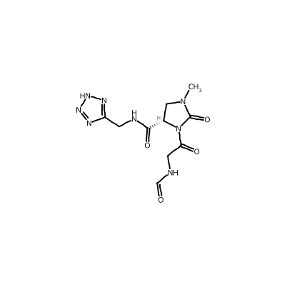 CN1C[C@@H](C(=O)NCc2nn[nH]n2)N(C(=O)CNC=O)C1=O